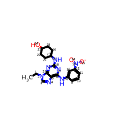 CCn1cnc2c(Nc3cccc([N+](=O)[O-])c3)nc(NC3CCC(O)CC3)nc21